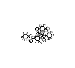 Cc1cc(C(=O)OC2CCCCC2)cc(S(=O)(=O)C2=CC(=O)C=CC2=O)c1C(=O)OC1CCCCC1